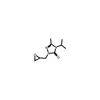 Cc1nn(CC2CO2)c(=O)n1C(C)C